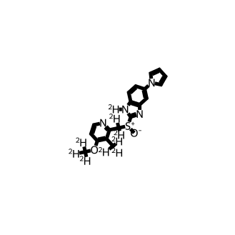 [2H]n1c([S+]([O-])C([2H])([2H])c2nccc(OC([2H])([2H])[2H])c2C([2H])([2H])[2H])nc2cc(-n3cccc3)ccc21